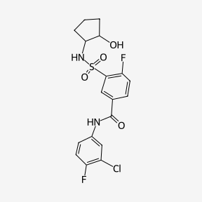 O=C(Nc1ccc(F)c(Cl)c1)c1ccc(F)c(S(=O)(=O)NC2CCCC2O)c1